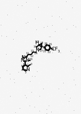 Cc1ncccc1-c1nnc(CCCCN2C[C@@H]3C[C@]3(c3ccc(C(F)(F)F)cc3)C2)n1C